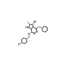 Cc1[nH]c2c(OCc3ccc(F)cc3)nnc(Cc3ccccc3)c2c1Br